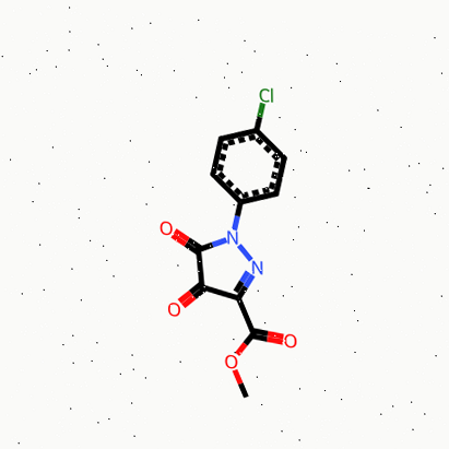 COC(=O)C1=NN(c2ccc(Cl)cc2)C(=O)C1=O